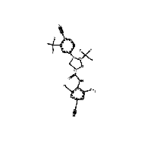 Cc1cc(C#N)cc(Cl)c1NC(=O)[C@@H]1CN(c2ccc(C#N)c(C(F)(F)F)c2)[C@@H](C(F)(F)F)O1